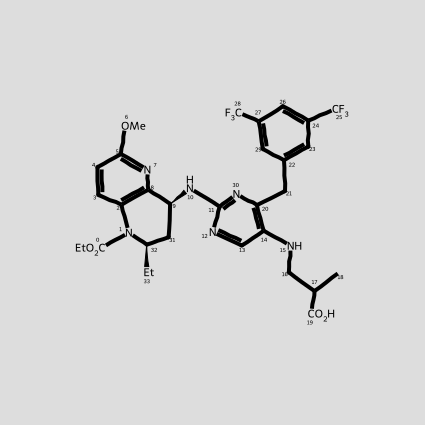 CCOC(=O)N1c2ccc(OC)nc2[C@@H](Nc2ncc(NCC(C)C(=O)O)c(Cc3cc(C(F)(F)F)cc(C(F)(F)F)c3)n2)C[C@H]1CC